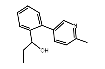 CCC(O)c1ccccc1-c1ccc(C)nc1